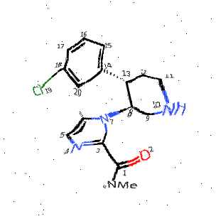 CNC(=O)c1nccn1[C@@H]1CNCC[C@H]1c1cccc(Cl)c1